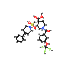 COC(=O)C1(CS(=O)(=O)N2CC=C(c3ccccc3)CC2)CCN(C(=O)c2cccc(OC(F)(F)F)c2)CC1